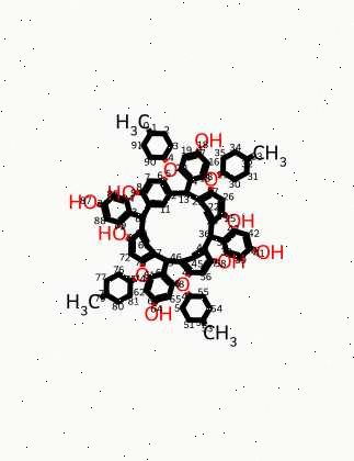 CC1CCC(Oc2cc(O)c3cc2C(c2ccc(O)cc2)c2cc(c(O)cc2OC2CCC(C)CC2)C(c2ccc(O)cc2)c2cc(c(OC4CCC(C)CC4)cc2O)C(c2ccc(O)cc2)c2cc(c(O)cc2OC2CCC(C)CC2)C3c2ccc(O)cc2)CC1